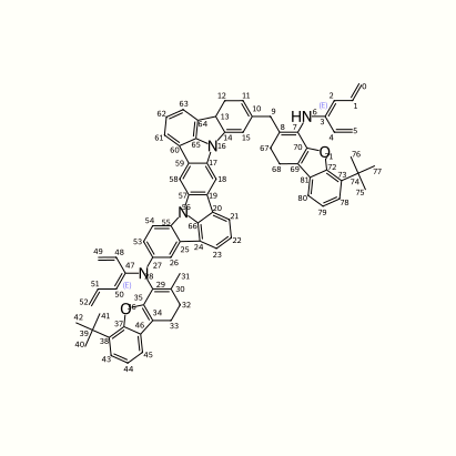 C=C/C=C(\C=C)NC1=C(CC2=CCC3C(=C2)n2c4cc5c6cccc7c8cc(N(C9=C(C)CCc%10c9oc9c(C(C)(C)C)cccc%109)/C(C=C)=C/C=C)ccc8n(c5cc4c4cccc3c42)c76)CCc2c1oc1c(C(C)(C)C)cccc21